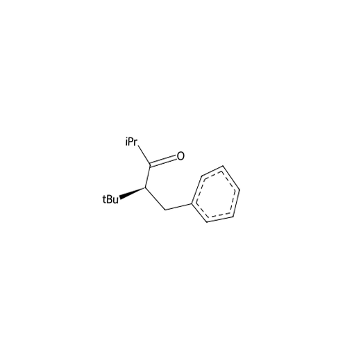 CC(C)C(=O)[C@@H](Cc1ccccc1)C(C)(C)C